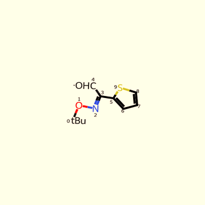 CC(C)(C)ON=C([C]=O)c1cccs1